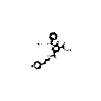 CNC(=O)c1cc(C(=O)NCCCC2CCNCC2)cn([C@H](C)c2ccccc2)c1=O.Cl